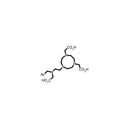 CC(=O)CN(CCN1CCN(CC(=O)O)CCN(CC(=O)O)CC1)CC(=O)O